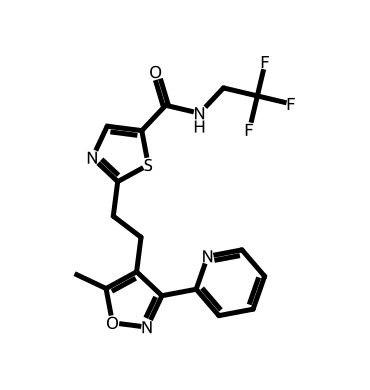 Cc1onc(-c2ccccn2)c1CCc1ncc(C(=O)NCC(F)(F)F)s1